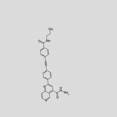 NNC(=O)c1cc(-c2ccc(C#Cc3ccc(C(=O)NCCO)cc3)cc2)nc2ccncc12